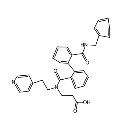 O=C(O)CCN(CCc1ccncc1)C(=O)c1ccccc1-c1ccccc1C(=O)NCc1ccccc1